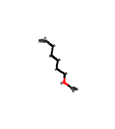 CCC[CH]OCCCCCCCCCCC